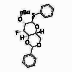 CCCCO[C@H]1[C@@H](F)[C@@H]2OC(c3ccccc3)OC[C@H]2O[C@@H]1Sc1ccccc1